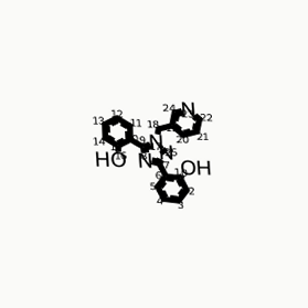 Oc1ccccc1-c1nc(-c2ccccc2O)n(Cc2cccnc2)n1